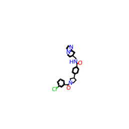 O=C(NCc1ccn2ccnc2c1)c1ccc(C2CCN(C(=O)c3cccc(Cl)c3)C2)cc1